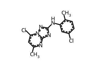 Cc1cc(Cl)n2nc(Nc3cc(Cl)ccc3C)nc2n1